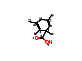 CC1=CC(C)(C(=O)O)C(C)=C(C)[CH]1